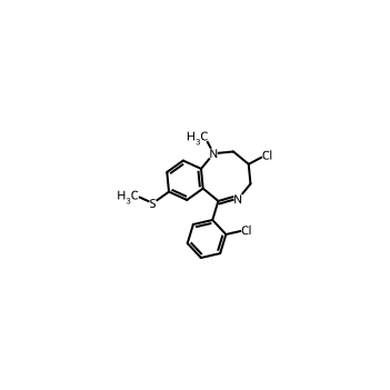 CSc1ccc2c(c1)/C(c1ccccc1Cl)=N\CC(Cl)CN2C